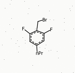 CCCc1cc(F)c(CBr)c(F)c1